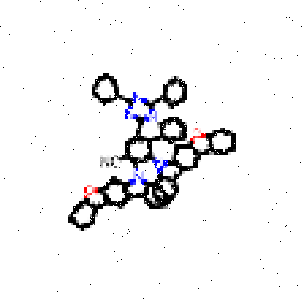 N#Cc1cc(-c2nc(-c3ccccc3)nc(-c3ccccc3)n2)c(-c2ccccc2)c(-n2c3ccccc3c3cc4c(cc32)oc2ccccc24)c1-n1c2ccccc2c2cc3c(cc21)oc1ccccc13